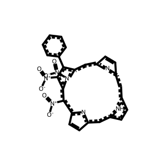 O=[N+]([O-])c1c2nc(cc3ccc(cc4nc(cc5c(-c6ccccc6)c([N+](=O)[O-])c1n5[N+](=O)[O-])C=C4)[nH]3)C=C2